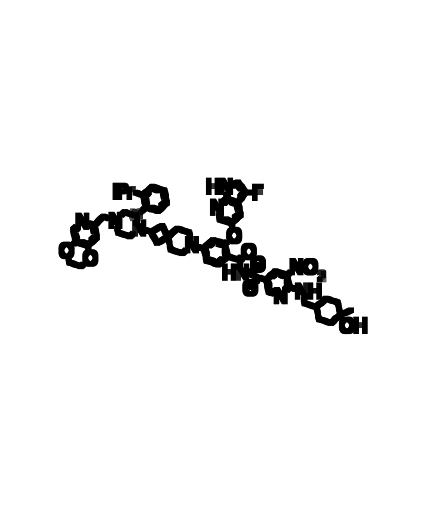 CC(C)c1ccccc1[C@@H]1CN(Cc2cc3c(cn2)OCCO3)CCN1C1CC2(CCN(c3ccc(C(=O)NS(=O)(=O)c4cnc(NCC5CCC(C)(O)CC5)c([N+](=O)[O-])c4)c(Oc4cnc5[nH]cc(F)c5c4)c3)CC2)C1